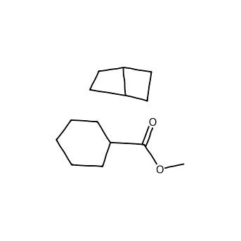 C1CC2CCC12.COC(=O)C1CCCCC1